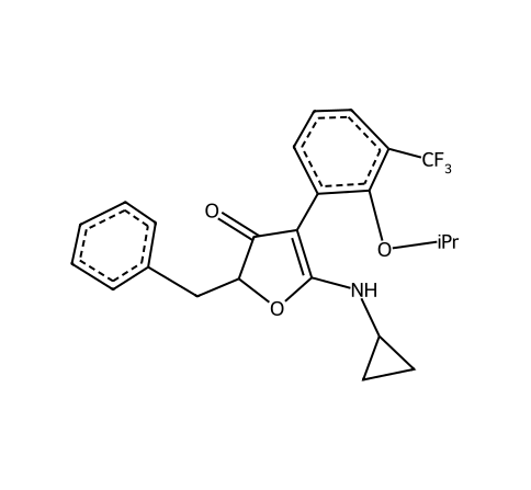 CC(C)Oc1c(C2=C(NC3CC3)OC(Cc3ccccc3)C2=O)cccc1C(F)(F)F